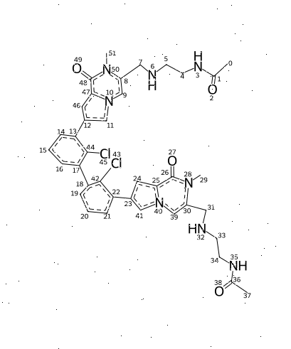 CC(=O)NCCNCc1cn2cc(-c3cccc(-c4cccc(-c5cc6c(=O)n(C)c(CNCCNC(C)=O)cn6c5)c4Cl)c3Cl)cc2c(=O)n1C